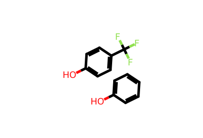 Oc1ccc(C(F)(F)F)cc1.Oc1ccccc1